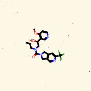 CCCN(CC(O)c1cnccc1OC)C(=O)N1Cc2cnc(C(F)(F)F)cc2C1